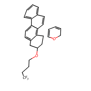 C1=CCOC=C1.FC(F)(F)CCCOC1CCc2c(ccc3c2ccc2ccccc23)C1